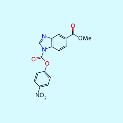 COC(=O)c1ccc2c(c1)ncn2C(=O)Oc1ccc([N+](=O)[O-])cc1